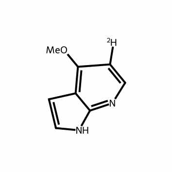 [2H]c1cnc2[nH]ccc2c1OC